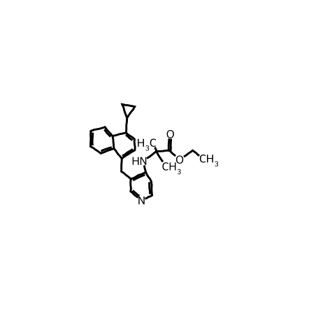 CCOC(=O)C(C)(C)Nc1ccncc1Cc1ccc(C2CC2)c2ccccc12